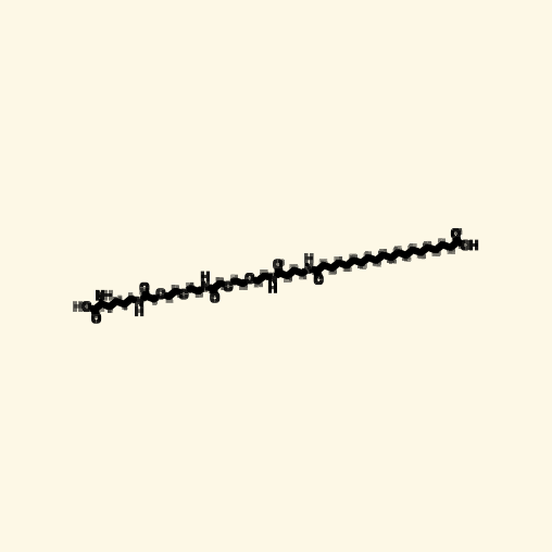 N[C@@H](CCCCNC(=O)COCCOCCNC(=O)COCCOCCNC(=O)CCCNC(=O)CCCCCCCCCCCCCCCCCCC(=O)O)C(=O)O